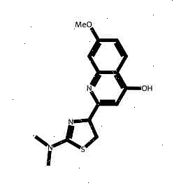 COc1ccc2c(O)cc(C3CSC(N(C)C)=N3)nc2c1